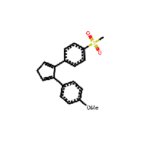 COc1ccc(C2=CCC=C2c2ccc(S(C)(=O)=O)cc2)cc1